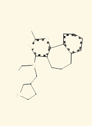 CCN(CC1CCNC1)c1nc(N)nc2c1CCCc1ccccc1-2